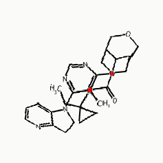 CCC1(OC(=O)N2CC3COCC(C2)C3Oc2ncnc(N3CCc4ncccc43)c2C)CC1